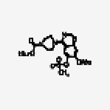 COc1cc2ncnc(N3CCN(C(=O)OC(C)(C)C)CC3)c2cc1OS(C)(=O)=O